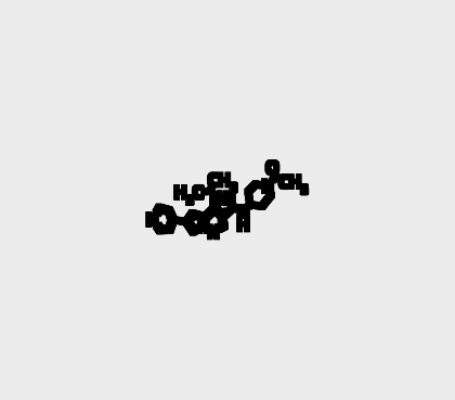 CC(=O)N1CCC(Nc2nn(C(C)C)c3c2cnn2cc(-c4ccncc4)cc32)CC1